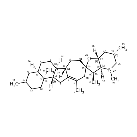 CC1=C2C[C@H]3[C@@H](CC[C@@H]4CC(C)CC[C@@]43C)[C@@H]2CC[C@@]2(C1)O[C@@H]1C[C@H](C)CN(C)[C@H]1[C@H]2C